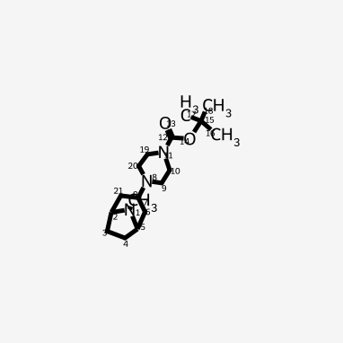 CN1C2CCC1CC(N1CCN(C(=O)OC(C)(C)C)CC1)C2